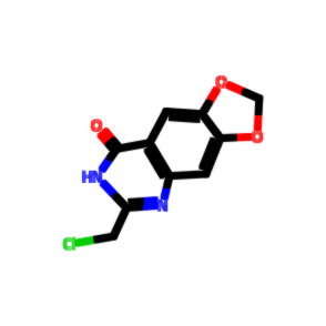 O=c1[nH]c(CCl)nc2cc3c(cc12)OCO3